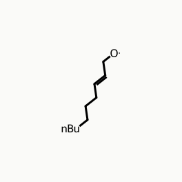 CCCCCCC/C=C/C[O]